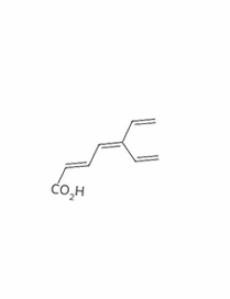 C=CC(C=C)=CC=CC(=O)O